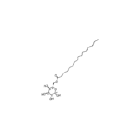 CCCCCCCCCCCCCCCC(=O)OC[C@H]1O[C@@H](O)[C@H](O)[C@@H](O)[C@H]1O